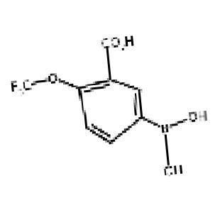 O=C(O)c1cc(B(O)O)ccc1OC(F)(F)F